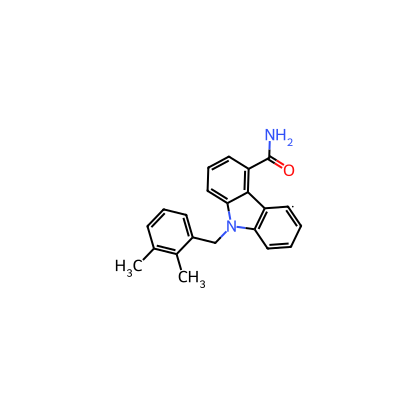 Cc1cccc(Cn2c3ccc[c]c3c3c(C(N)=O)cccc32)c1C